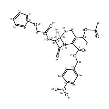 CC(=O)OC(C)C1=C(C(=O)OCc2ccc([N+](=O)[O-])cc2)N2C(=O)[C@@H](NC(=O)COc3ccccc3)[C@H]2SC1